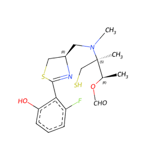 C[C@@H](OC=O)[C@@](C)(CS)N(C)C[C@@H]1CSC(c2c(O)cccc2F)=N1